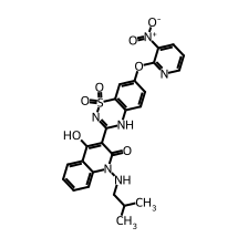 CC(C)CNn1c(=O)c(C2=NS(=O)(=O)c3cc(Oc4ncccc4[N+](=O)[O-])ccc3N2)c(O)c2ccccc21